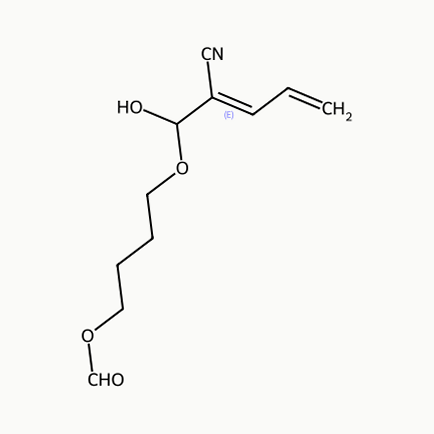 C=C/C=C(\C#N)C(O)OCCCCOC=O